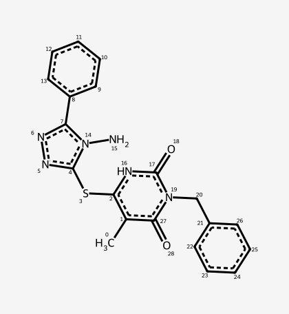 Cc1c(Sc2nnc(-c3ccccc3)n2N)[nH]c(=O)n(Cc2ccccc2)c1=O